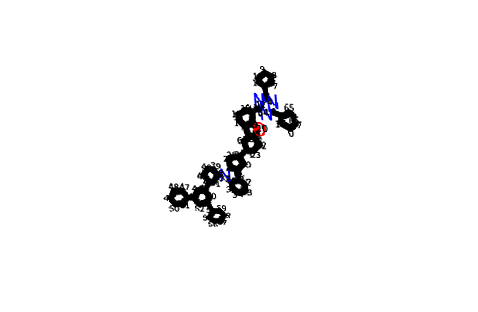 C1=CC(c2nc(-c3ccccc3)nc(-c3cccc4c3oc3ccc(-c5ccc6c(c5)c5ccccc5n6-c5cccc(-c6cc(-c7ccccc7)cc(-c7ccccc7)c6)c5)cc34)n2)=CCC1